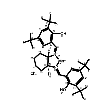 CC(C)(C)c1cc(C=[N+]2[Mn+][N+](=Cc3cc(C(C)(C)C)cc(C(C)(C)C)c3O)[C@H]3CCCC[C@@H]32)c(O)c(C(C)(C)C)c1.[Cl-]